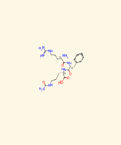 N=C(N)NCCC[C@H](N)C(=O)N[C@H](Cc1ccccc1)C(=O)N[C@@H](CCCNC(N)=O)C(=O)O